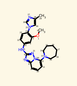 COc1cc(Nc2nc3cccc(N4CCCCCC4)n3n2)ccc1-n1cnc(C)c1